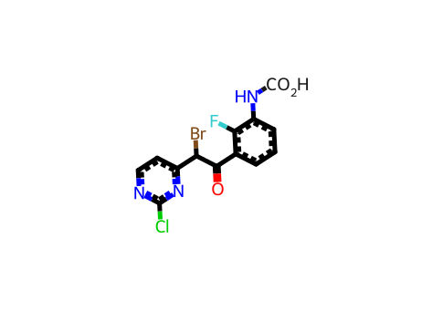 O=C(O)Nc1cccc(C(=O)C(Br)c2ccnc(Cl)n2)c1F